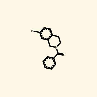 O=C(c1ccccc1)N1CCc2ccc(Br)cc2C1